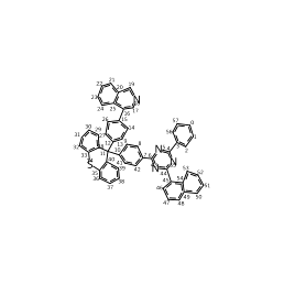 c1ccc(-c2nc(-c3ccc(C4(c5ccc(-c6cncc7ccccc67)cc5)c5ccccc5Sc5ccccc54)cc3)nc(-c3cccc4ccccc34)n2)cc1